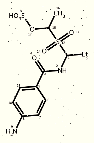 CCC(NC(=O)c1ccc(N)cc1)S(=O)(=O)C(C)OS(=O)(=O)O